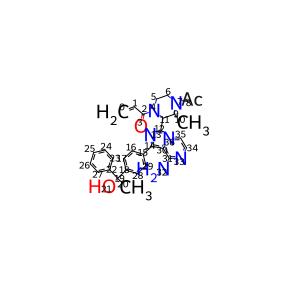 C=CC(=O)N1CCN(C(C)=O)[C@@H](C)C1c1nc(-c2ccc(C(C)(O)c3ccccc3)cc2)c2c(N)nccn12